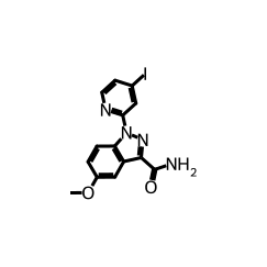 COc1ccc2c(c1)c(C(N)=O)nn2-c1cc(I)ccn1